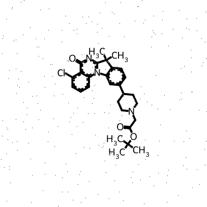 CC(C)(C)OC(=O)CN1CCC(c2ccc3c(c2)-n2c(nc(=O)c4c(Cl)cccc42)C3(C)C)CC1